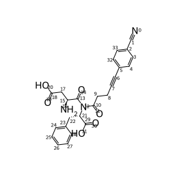 N#Cc1ccc(C#CCCC(=O)N(C(=O)[C@@H](N)CC(=O)O)[C@@H](Cc2ccccc2)C(=O)O)cc1